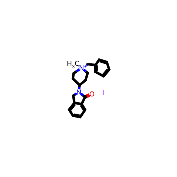 C[N+]1(Cc2ccccc2)CCC(N2Cc3ccccc3C2=O)CC1.[I-]